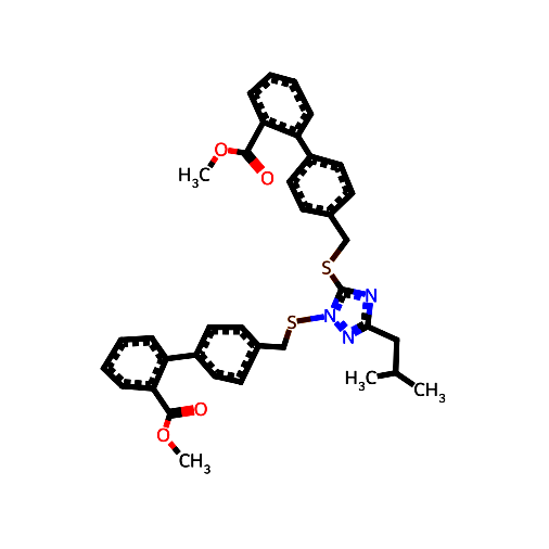 COC(=O)c1ccccc1-c1ccc(CSc2nc(CC(C)C)nn2SCc2ccc(-c3ccccc3C(=O)OC)cc2)cc1